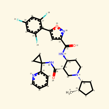 C[C@H]1CCC[C@H]1N1CC[C@H](NC(=O)c2cc(-c3c(F)cc(F)cc3F)on2)[C@@H](C(=O)NC2(c3ccccn3)CC2)C1